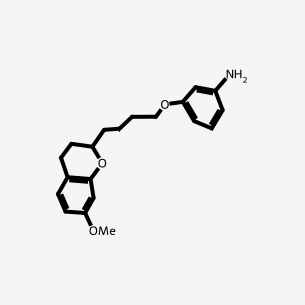 COc1ccc2c(c1)OC(C[CH]CCOc1cccc(N)c1)CC2